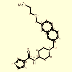 COCCOCc1ccc2ccc(CN3CCC(NC(=O)c4ccsc4)CC3)cc2c1